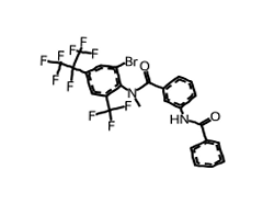 CN(C(=O)c1cccc(NC(=O)c2ccccc2)c1)c1c(Br)cc(C(F)(C(F)(F)F)C(F)(F)F)cc1C(F)(F)F